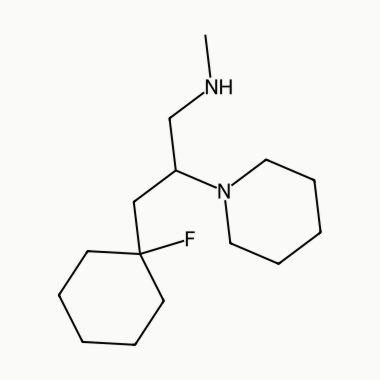 CNCC(CC1(F)CCCCC1)N1CCCCC1